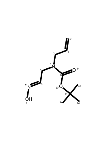 C=CCN(CC=NO)C(=O)OC(C)(C)C